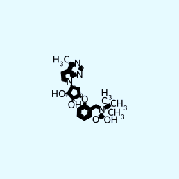 Cc1ncnc2c1ccn2[C@H]1C[C@@H](Oc2ccccc2CN(C(=O)O)C(C)(C)C)[C@H](O)[C@@H]1O